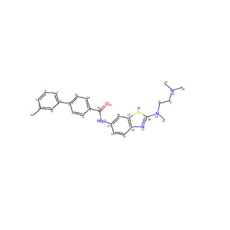 Cc1cccc(-c2ccc(C(=O)Nc3ccc4nc(N(C)CCN(C)C)sc4c3)cc2)c1